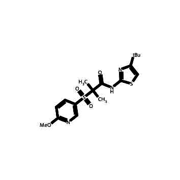 COc1ccc(S(=O)(=O)C(C)(C)C(=O)Nc2nc(C(C)(C)C)cs2)cn1